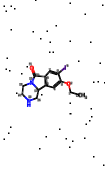 CCOc1cc2c(cc1I)C(=O)N1CCNCC21